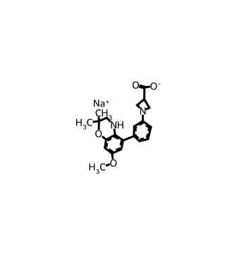 COc1cc2c(c(-c3cccc(N4CC(C(=O)[O-])C4)c3)c1)NCC(C)(C)O2.[Na+]